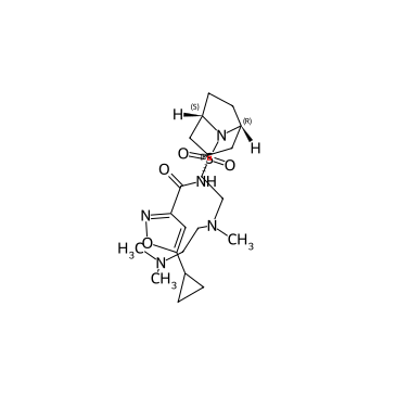 CN(C)CCN(C)CCS(=O)(=O)N1[C@@H]2CC[C@H]1C[C@@H](NC(=O)c1cc(C3CC3)on1)C2